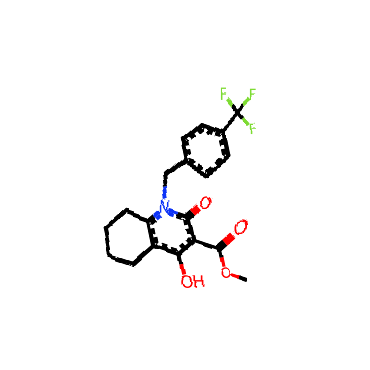 COC(=O)c1c(O)c2c(n(Cc3ccc(C(F)(F)F)cc3)c1=O)CCCC2